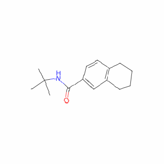 CC(C)(C)NC(=O)c1ccc2c(c1)CCCC2